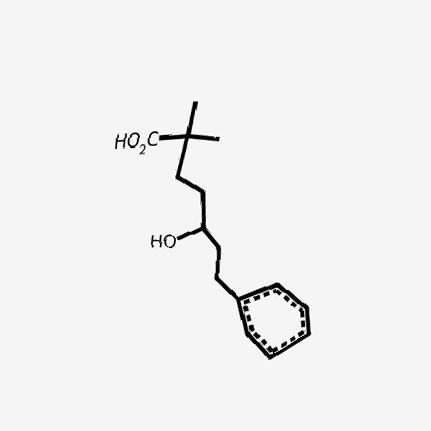 CC(C)(CCC(O)CCc1ccccc1)C(=O)O